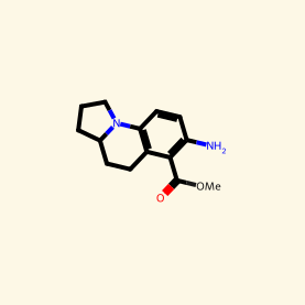 COC(=O)c1c(N)ccc2c1CCC1CCCN21